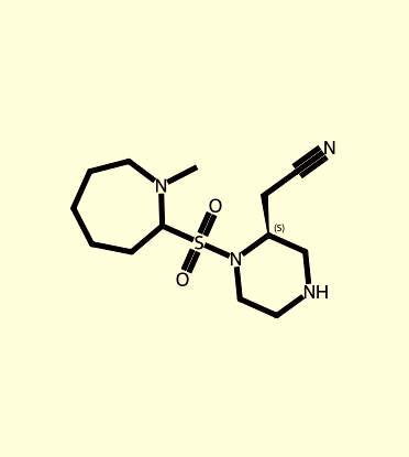 CN1CCCCCC1S(=O)(=O)N1CCNC[C@@H]1CC#N